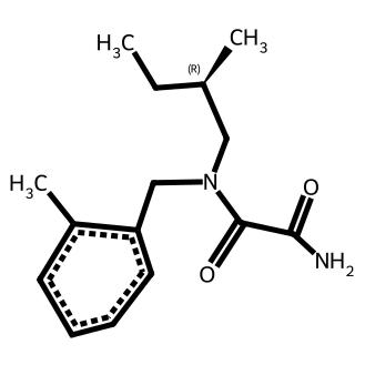 CC[C@@H](C)CN(Cc1ccccc1C)C(=O)C(N)=O